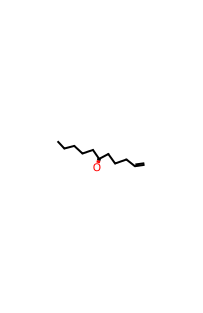 C=CCCCC(=O)CCCCC